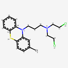 CCc1ccc2c(c1)N(CCCN(CCCl)CCCl)c1ccccc1S2